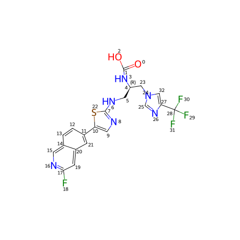 O=C(O)N[C@H](CNc1ncc(-c2ccc3cnc(F)cc3c2)s1)Cn1cnc(C(F)(F)F)c1